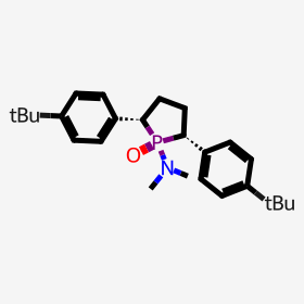 CN(C)P1(=O)[C@@H](c2ccc(C(C)(C)C)cc2)CC[C@H]1c1ccc(C(C)(C)C)cc1